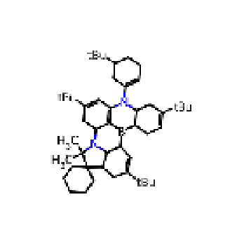 CC(C)(C)C1=CCC2B3C4=C(C=C(C(C)(C)C)CC4N4C5C3C=C(C(C)(C)C)CC5C3(CCCCC3)C4(C)C)N(C3=CCCC(C(C)(C)C)C3)C2C1